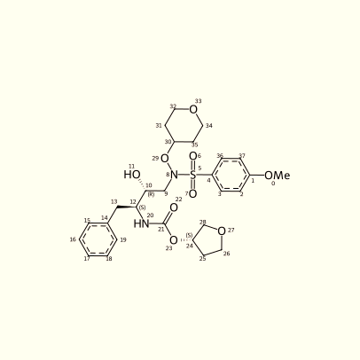 COc1ccc(S(=O)(=O)N(C[C@@H](O)[C@H](Cc2ccccc2)NC(=O)O[C@H]2CCOC2)OC2CCOCC2)cc1